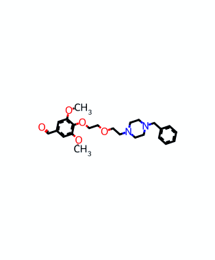 COc1cc(C=O)cc(OC)c1OCCOCCN1CCN(Cc2ccccc2)CC1